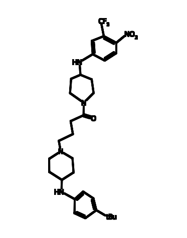 CC(C)(C)c1ccc(NC2CCN(CCCC(=O)N3CCC(Nc4ccc([N+](=O)[O-])c(C(F)(F)F)c4)CC3)CC2)cc1